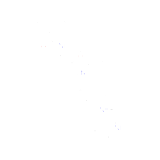 O=C(NC[C@H]1CN(c2ccc(N3CCNOCC3)c(F)c2)C(=O)O1)C(F)F